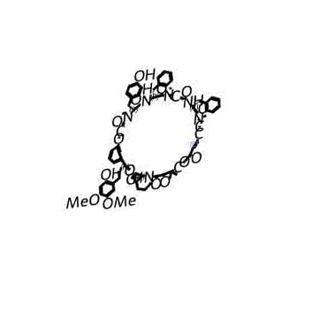 COc1cc(O)c(CC[C@H]2OC(=O)[C@@H]3CCCCN3C(=O)C(=O)C(C)(C)COC(=O)/C=C/CCN(C)C(=O)[C@@H](Cc3ccccc3)NC(=O)CN(C)C(=O)[C@@H](Cc3ccccc3)NC(=O)[C@H](Cc3ccc(O)cc3)N(C)C(=O)COc3cccc2c3)cc1OC